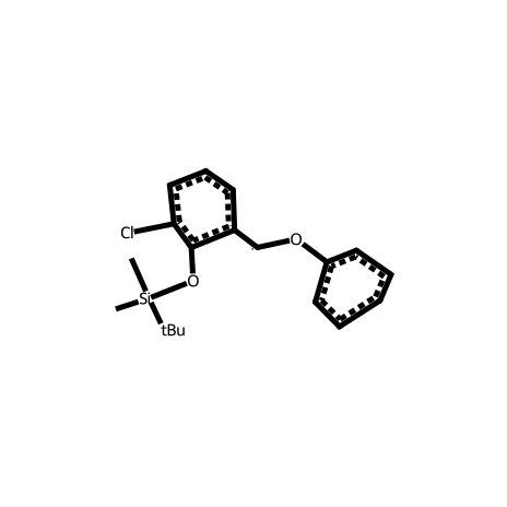 CC(C)(C)[Si](C)(C)Oc1c(Cl)cccc1[C]Oc1ccccc1